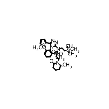 COc1cccc(OC)c1-n1c(-c2ccco2)nnc1N(CC[Si](C)(C)C)S(=O)(=O)CCN1C(=O)CCC[C@H]1C